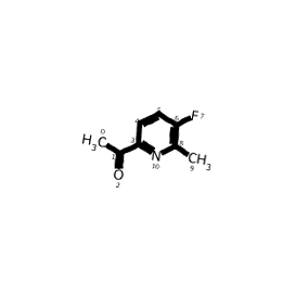 CC(=O)c1ccc(F)c(C)n1